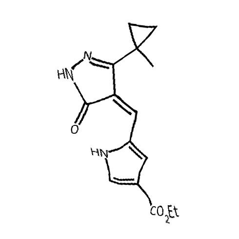 CCOC(=O)c1c[nH]c(C=C2C(=O)NN=C2C2(C)CC2)c1